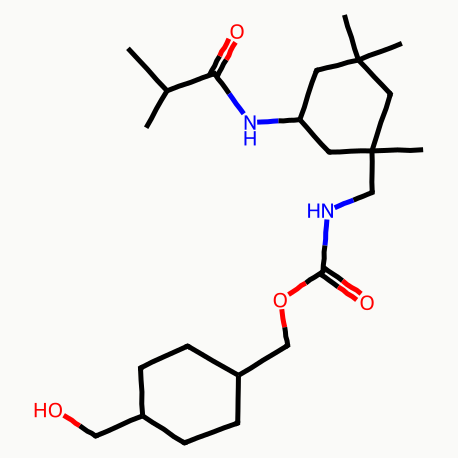 CC(C)C(=O)NC1CC(C)(C)CC(C)(CNC(=O)OCC2CCC(CO)CC2)C1